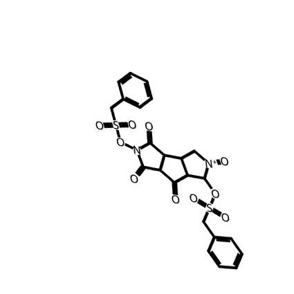 O=C1C2C(=O)N(OS(=O)(=O)Cc3ccccc3)C(=O)C2C2C[N+](=O)C(OS(=O)(=O)Cc3ccccc3)C12